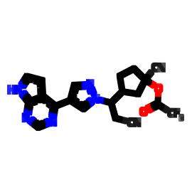 N#CCC(C1CCC(C#N)(OC(=O)C(F)(F)F)C1)n1cc(-c2ncnc3[nH]ccc23)cn1